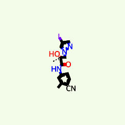 Cc1cc(NC(=O)[C@@](C)(O)Cn2cc(I)cn2)ccc1C#N